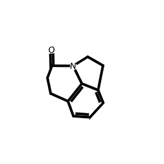 O=C1CCc2c[c]cc3c2N1CC3